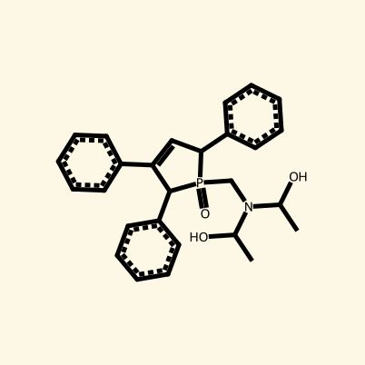 CC(O)N(CP1(=O)C(c2ccccc2)C=C(c2ccccc2)C1c1ccccc1)C(C)O